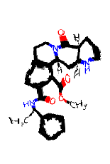 COC(=O)c1c(C(=O)N[C@H](C)c2ccccc2)ccc2c1[C@H]1C[C@@H]3NCCC[C@@H]3C(=O)N1CC2